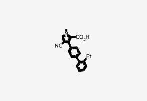 CCc1ccccc1-c1ccc(-c2c(C#N)cn(C)c2C(=O)O)cc1